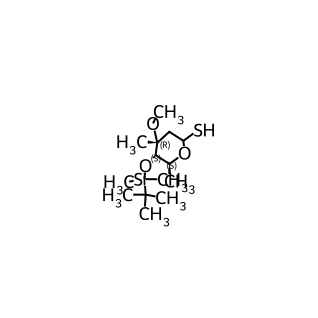 CO[C@]1(C)CC(S)O[C@@H](C)[C@@H]1O[Si](C)(C)C(C)(C)C